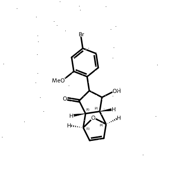 COc1cc(Br)ccc1C1C(=O)[C@@H]2[C@H](C1O)[C@H]1C=C[C@@H]2O1